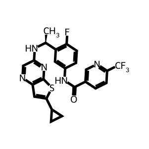 C[C@H](Nc1cnc2cc(C3CC3)sc2n1)c1cc(NC(=O)c2ccc(C(F)(F)F)nc2)ccc1F